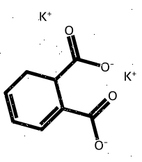 O=C([O-])C1=CC=CCC1C(=O)[O-].[K+].[K+]